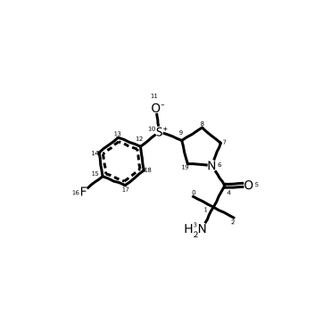 CC(C)(N)C(=O)N1CCC([S+]([O-])c2ccc(F)cc2)C1